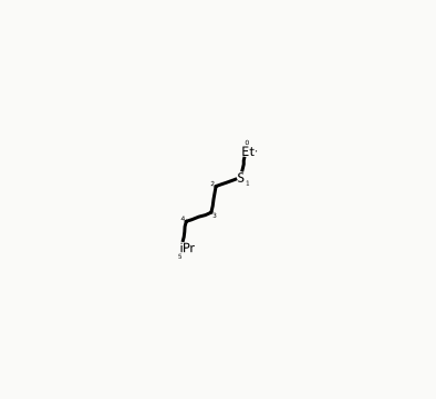 C[CH]SCCCC(C)C